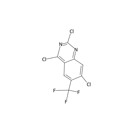 FC(F)(F)c1cc2c(Cl)nc(Cl)nc2cc1Cl